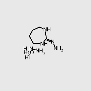 I.NN.NN=C1NCCCCN1.O